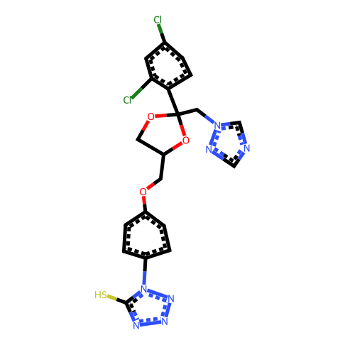 Sc1nnnn1-c1ccc(OCC2COC(Cn3cncn3)(c3ccc(Cl)cc3Cl)O2)cc1